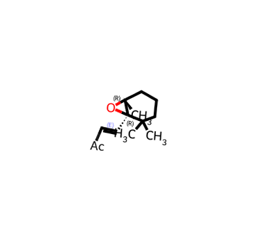 CC(=O)/C=C/[C@]12O[C@]1(C)CCCC2(C)C